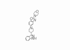 c1ccc2c(C3CCN(c4ccc5oc(N6CCOCC6)nc5c4)CC3)n[nH]c2c1